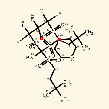 CC(C)(C)CCS(=O)(=O)C(C)(S(=O)(=O)CCC(C)(C)C)S(=O)(=O)C(F)(F)C(F)(F)C(F)(F)S(=O)(=O)N1CCOCC1